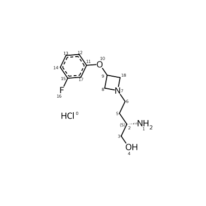 Cl.N[C@H](CO)CCN1CC(Oc2cccc(F)c2)C1